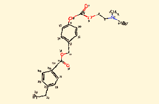 CCCCN(C)CCOC(=O)Oc1ccc(COC(=O)Cc2ccc(CC(C)C)cc2)cc1